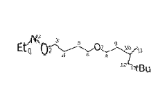 CC[N]OCCCCOCCC(C)CC(C)(C)C